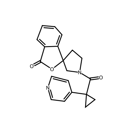 O=C1OC2(CCN(C(=O)C3(c4ccncc4)CC3)C2)c2ccccc21